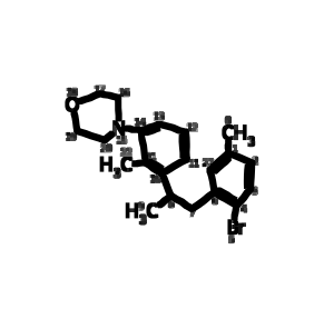 Cc1ccc(Br)c(CC(C)c2cccc(N3CCOCC3)c2C)c1